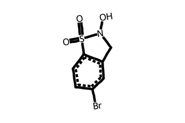 O=S1(=O)c2ccc(Br)cc2CN1O